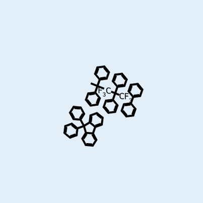 CC(C)(c1ccccc1)c1ccccc1.FC(F)(F)C(c1ccccc1)(c1ccccc1)C(F)(F)F.c1ccc(-c2ccccc2)cc1.c1ccc(C2(c3ccccc3)c3ccccc3-c3ccccc32)cc1